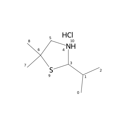 CC(C)C1NCC(C)(C)S1.Cl